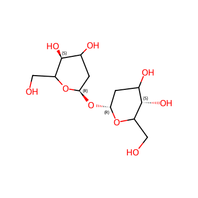 OCC1O[C@H](O[C@@H]2CC(O)[C@H](O)C(CO)O2)CC(O)[C@@H]1O